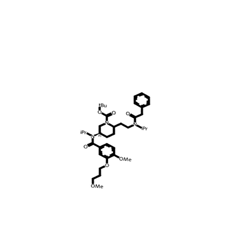 COCCCOc1cc(C(=O)N(C(C)C)[C@@H]2CCC(CCN(C(=O)Cc3ccccc3)C(C)C)N(C(=O)OC(C)(C)C)C2)ccc1OC